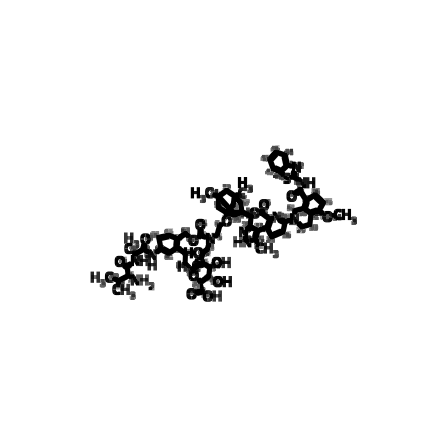 COCCN(CCOC12CC3(C)CC(C)(CC(Cc4n[nH]c(C)c4-c4ccc(N5CCc6c(OC)ccc(C(=O)Nc7nc8ccccc8s7)c6C5)nc4C(=O)O)(C3)C1)C2)C(=O)OCc1ccc(NC(=O)[C@H](C)NC(=O)[C@@H](N)C(C)C)cc1CC[C@@H]1O[C@H](C(=O)O)[C@@H](O)[C@H](O)[C@H]1O